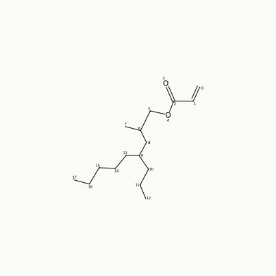 C=CC(=O)OCC(C)CC(CCC)CCCCC